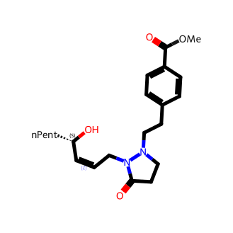 CCCCC[C@H](O)/C=C\CN1C(=O)CCN1CCc1ccc(C(=O)OC)cc1